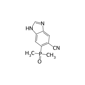 CP(C)(=O)c1cc2[nH]cnc2cc1C#N